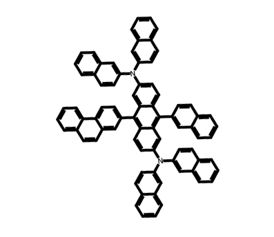 c1ccc2cc(-c3c4ccc(N(c5ccc6ccccc6c5)c5ccc6ccccc6c5)cc4c(-c4ccc5c(ccc6ccccc65)c4)c4ccc(N(c5ccc6ccccc6c5)c5ccc6ccccc6c5)cc34)ccc2c1